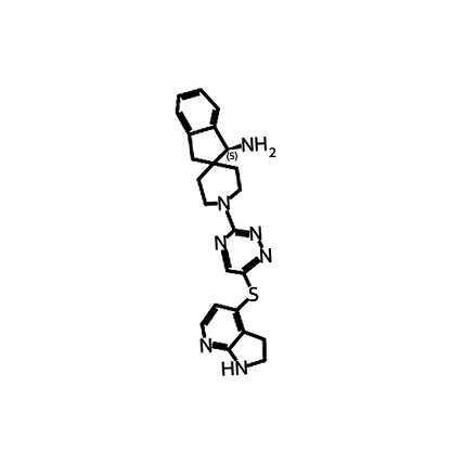 N[C@@H]1c2ccccc2CC12CCN(c1ncc(Sc3ccnc4c3CCN4)nn1)CC2